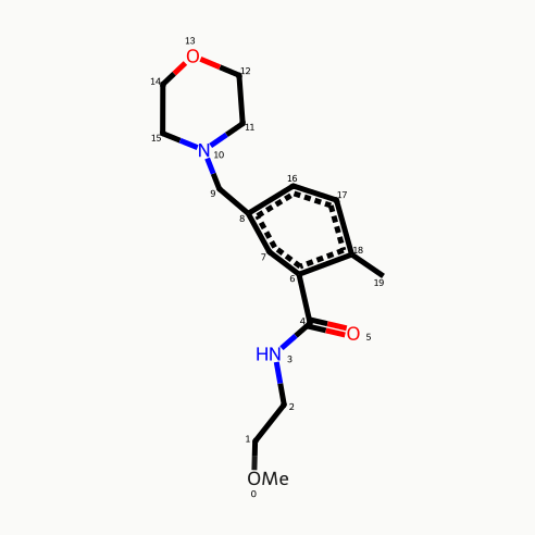 COCCNC(=O)c1cc(CN2CCOCC2)ccc1C